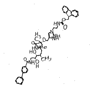 COC(=O)C(C)(CC(O)CC(C)[C@@H](O)C(O)CNC(=O)c1ccc(-c2ccccc2)cc1)OCC1=CN(CCNC(=O)OCC2c3ccccc3-c3ccccc32)NN1